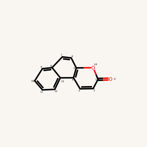 O=c1[c]cc2c(ccc3ccccc32)o1